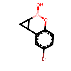 OB1Oc2ccc(Br)cc2C2CC12